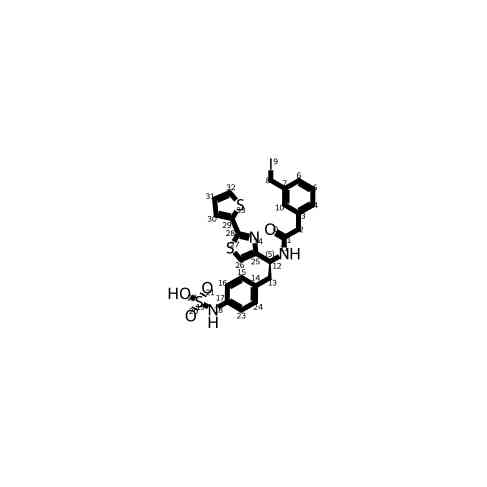 O=C(Cc1cccc(CI)c1)N[C@@H](Cc1ccc(NS(=O)(=O)O)cc1)c1csc(-c2cccs2)n1